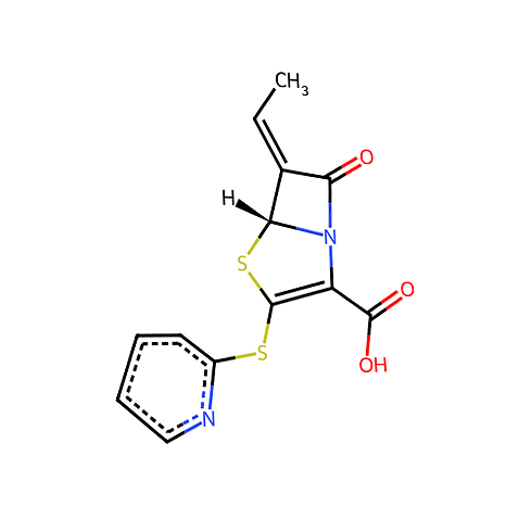 CC=C1C(=O)N2C(C(=O)O)=C(Sc3ccccn3)S[C@H]12